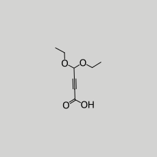 CCOC(C#CC(=O)O)OCC